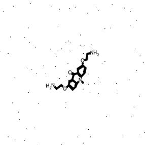 Cn1c2ccc(OCCN)cc2c(=O)c2cc(OCCN)ccc21